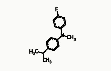 CC(C)c1ccc(N(C)c2ccc(F)cc2)cc1